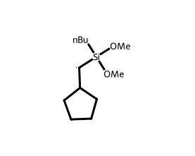 CCCC[Si]([CH]C1CCCC1)(OC)OC